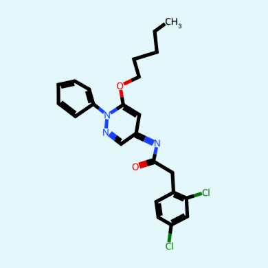 CCCCCOc1cc(=NC(=O)Cc2ccc(Cl)cc2Cl)cnn1-c1ccccc1